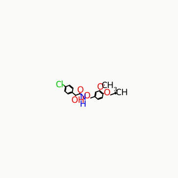 C#CCOc1ccc(CONC(=O)C(O)c2ccc(Cl)cc2)cc1OC